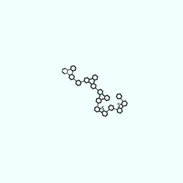 C1=CC2c3ccccc3-c3cc(-c4cccc(-c5ccc6c7ccccc7c7cc(-c8ccc9c%10ccccc%10c%10cc(-c%11cccc%12c%11sc%11c(-c%13cccc(-c%14cccc%15c%14sc%14c(-c%16ccccc%16)cccc%14%15)c%13)cccc%11%12)ccc%10c9c8)ccc7c6c5)c4)ccc3C2C=C1